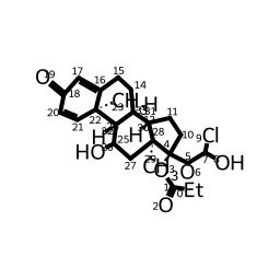 CCC(=O)O[C@]1(C(=O)C(O)Cl)CC[C@H]2[C@@H]3CCC4=CC(=O)C=C[C@]4(C)[C@H]3C(O)C[C@@]21C